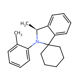 Cc1ccccc1N1[C@@H](C)c2ccccc2C12CCCCC2